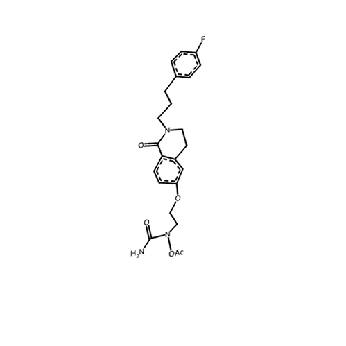 CC(=O)ON(CCOc1ccc2c(c1)CCN(CCCc1ccc(F)cc1)C2=O)C(N)=O